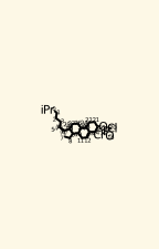 CC(C)CCC[C@@H](C)[C@H]1CCC2C3CC=C4CC(OP(=O)(Cl)Cl)CC[C@]4(C)C3CC[C@@]21C